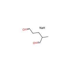 CC(C=O)CCC=O.[NaH]